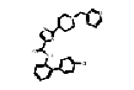 O=C(Nc1ccccc1-c1ccc(Cl)cc1)c1csc(C2CCN(Cc3cccnc3)CC2)n1